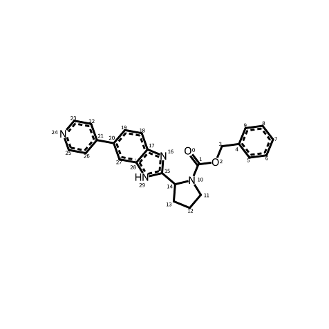 O=C(OCc1ccccc1)N1CCCC1c1nc2ccc(-c3ccncc3)cc2[nH]1